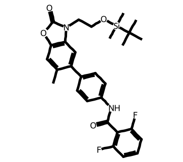 Cc1cc2oc(=O)n(CCO[Si](C)(C)C(C)(C)C)c2cc1-c1ccc(NC(=O)c2c(F)cccc2F)cc1